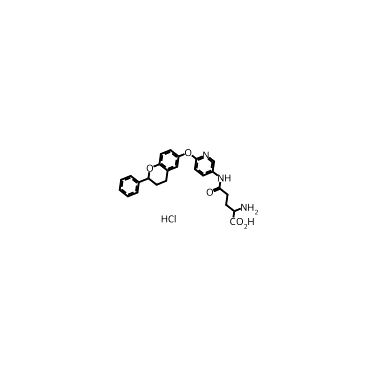 Cl.NC(CCC(=O)Nc1ccc(Oc2ccc3c(c2)CCC(c2ccccc2)O3)nc1)C(=O)O